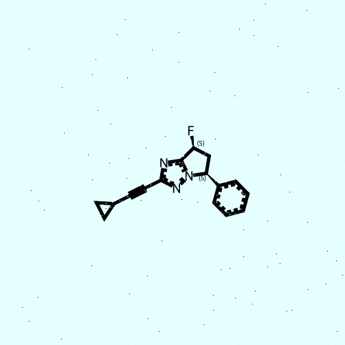 F[C@H]1C[C@@H](c2ccccc2)n2nc(C#CC3CC3)nc21